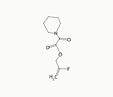 C=C(F)COC(=O)C(=O)N1CCCCC1